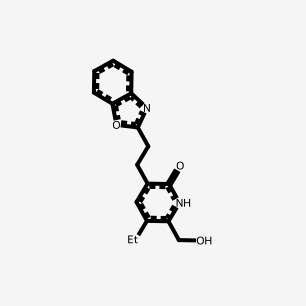 CCc1cc(CCc2nc3ccccc3o2)c(=O)[nH]c1CO